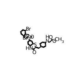 COC(=O)CNc1ccc(C=C2Sc3cc(S(=O)(=O)Cc4c(Br)cccc4Br)ccc3NC2=O)cc1